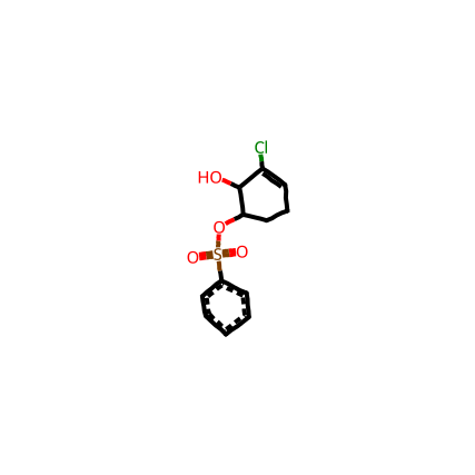 O=S(=O)(OC1CCC=C(Cl)C1O)c1ccccc1